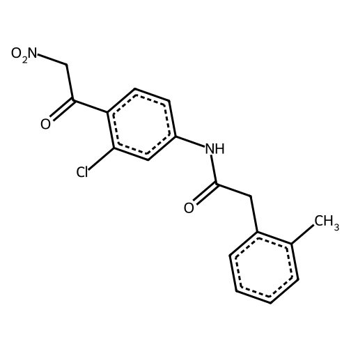 Cc1ccccc1CC(=O)Nc1ccc(C(=O)C[N+](=O)[O-])c(Cl)c1